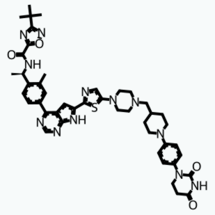 Cc1cc(-c2ncnc3[nH]c(-c4ncc(N5CCN(CC6CCN(c7ccc(N8CCC(=O)NC8=O)cc7)CC6)CC5)s4)cc23)ccc1[C@@H](C)NC(=O)c1nc(C(C)(C)C)no1